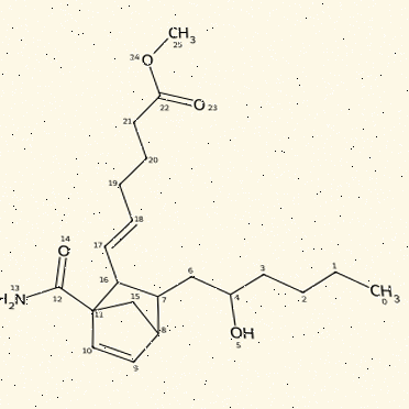 CCCCC(O)CC1C2C=CC(C(N)=O)(C2)C1C=CCCCC(=O)OC